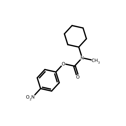 CN(C(=O)Oc1ccc([N+](=O)[O-])cc1)C1CCCCC1